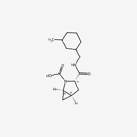 CC1CCCC(CNC(=O)[C@@H]2C[C@H]3C[C@H]3N2C(=O)O)C1